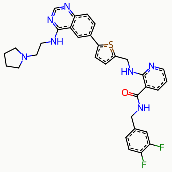 O=C(NCc1ccc(F)c(F)c1)c1cccnc1NCc1ccc(-c2ccc3ncnc(NCCN4CCCC4)c3c2)s1